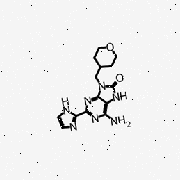 Nc1nc(-c2ncc[nH]2)nc2c1[nH]c(=O)n2CC1CCOCC1